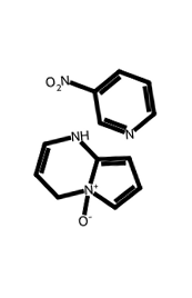 O=[N+]([O-])c1cccnc1.[O-][N+]12C=CC=C1NC=CC2